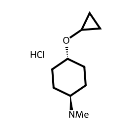 CN[C@H]1CC[C@H](OC2CC2)CC1.Cl